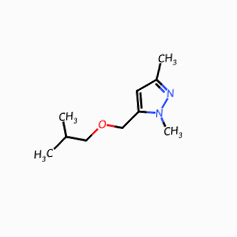 Cc1cc(COCC(C)C)n(C)n1